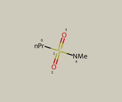 C[CH]CS(=O)(=O)NC